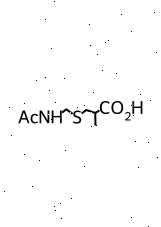 CC(=O)NCSCC(C)C(=O)O